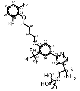 C[C@](N)(COP(=O)(O)O)c1nnc(-c2ccc(OCCCCOc3c(F)cccc3F)c(C(F)(F)F)c2)s1